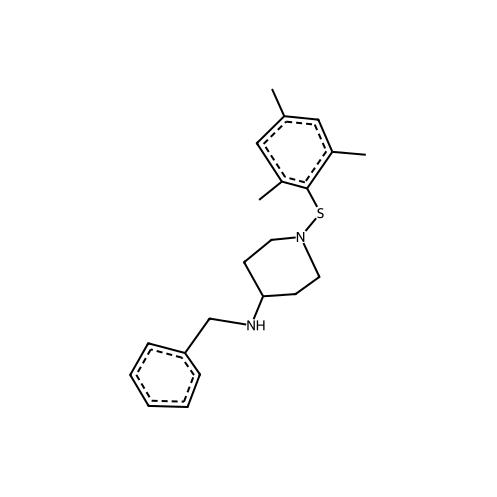 Cc1cc(C)c(SN2CCC(NCc3ccccc3)CC2)c(C)c1